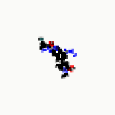 CCn1cc(C)c(-c2cc(N)c3cnc(NC(=O)[C@@H]4C[C@@H]4F)cc3c2)cc1=O